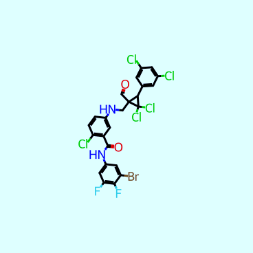 O=CC1(CNc2ccc(Cl)c(C(=O)Nc3cc(F)c(F)c(Br)c3)c2)C(c2cc(Cl)cc(Cl)c2)C1(Cl)Cl